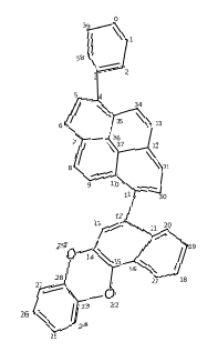 c1ccc(-c2ccc3ccc4c(-c5cc6c(c7ccccc57)Oc5ccccc5O6)ccc5ccc2c3c54)cc1